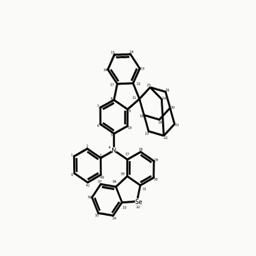 c1ccc(N(c2ccc3c(c2)C2(c4ccccc4-3)C3CC4CC(C3)CC2C4)c2cccc3[se]c4ccccc4c23)cc1